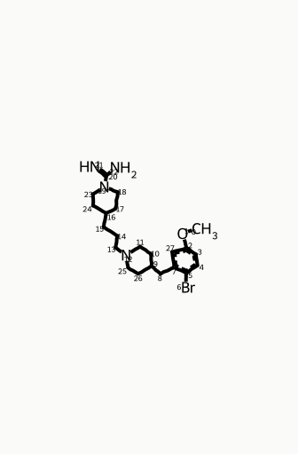 COc1ccc(Br)c(CC2CCN(CCCC3CCN(C(=N)N)CC3)CC2)c1